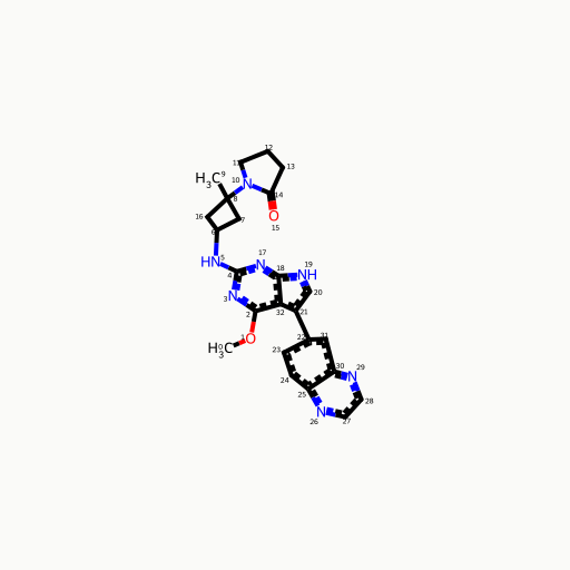 COc1nc(NC2CC(C)(N3CCCC3=O)C2)nc2[nH]cc(-c3ccc4nccnc4c3)c12